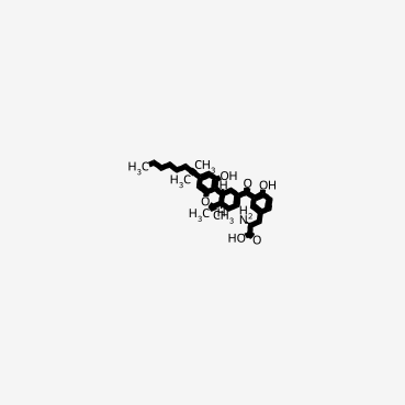 CCCCCCC(C)(C)c1cc(O)c2c(c1)OC(C)(C)[C@@H]1CC=C(C(=O)c3cc(C[C@@H](N)C(=O)O)ccc3O)C[C@@H]21